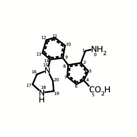 NCc1cc(C(=O)O)ccc1-c1ccccc1N1CCNCC1